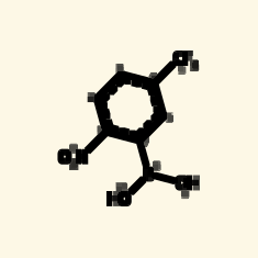 O=[N+]([O-])c1ccc(C(F)(F)F)cc1B(O)O